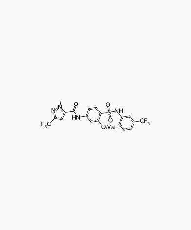 COc1cc(NC(=O)c2cc(C(F)(F)F)nn2C)ccc1S(=O)(=O)Nc1cccc(C(F)(F)F)c1